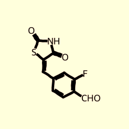 O=Cc1ccc(C=C2SC(=O)NC2=O)cc1F